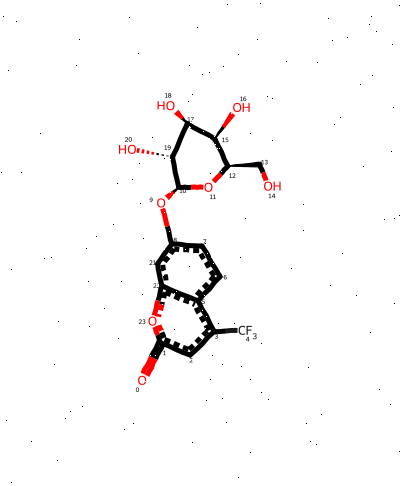 O=c1cc(C(F)(F)F)c2ccc(O[C@@H]3O[C@H](CO)[C@H](O)[C@H](O)[C@H]3O)cc2o1